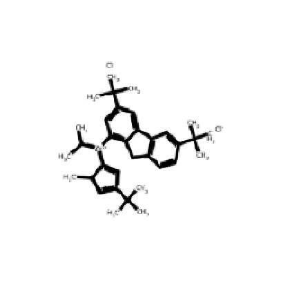 CC1C=C(C(C)(C)C)C=[C]1[Zr+2]([c]1cc(C(C)(C)C)cc2c1Cc1ccc(C(C)(C)C)cc1-2)[CH](C)C.[Cl-].[Cl-]